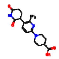 Cc1nc(N2CCC(C(=O)O)CC2)ccc1C1CCC(=O)NC1=O